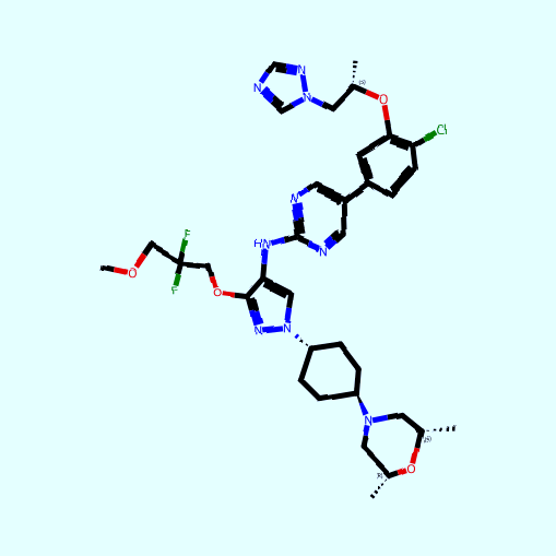 COCC(F)(F)COc1nn([C@H]2CC[C@H](N3C[C@@H](C)O[C@@H](C)C3)CC2)cc1Nc1ncc(-c2ccc(Cl)c(O[C@@H](C)Cn3cncn3)c2)cn1